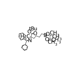 CC(C)(C)OC(=O)C(C)(CCCCB1OC(C)(C)C(C)(C)O1)N=C(c1ccccc1)c1ccccc1